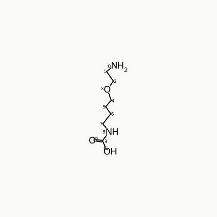 NCCOCCCCNC(=O)O